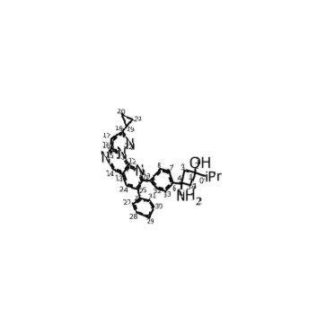 CC(C)C1(O)CC(N)(c2ccc(-c3nc4c(cnc5cc(C6CC6)nn54)cc3-c3ccccc3)cc2)C1